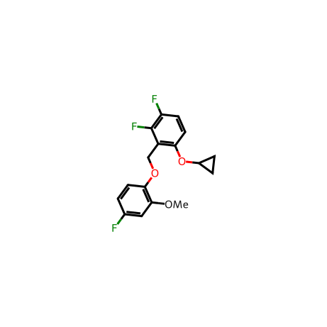 COc1cc(F)ccc1OCc1c(OC2CC2)ccc(F)c1F